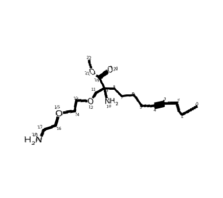 CCCC#CCCCCC(N)(COCCOCCN)C(=O)OC